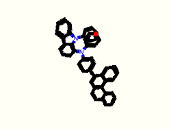 c1ccc(N(c2ccc(-c3cc4ccc5ccccc5c4c4ccccc34)cc2)c2cccc3c4ccccc4n(-c4ccccc4)c23)cc1